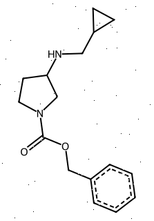 O=C(OCc1ccccc1)N1CCC(NCC2CC2)C1